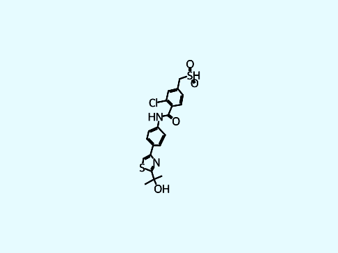 CC(C)(O)c1nc(-c2ccc(NC(=O)c3ccc(C[SH](=O)=O)cc3Cl)cc2)cs1